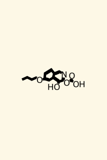 CCCCOc1ccc2cnc(OC(=O)O)c(O)c2c1